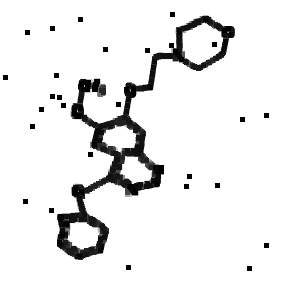 COc1cc2c(Oc3ccccc3)ncnc2cc1OCCN1CCOCC1